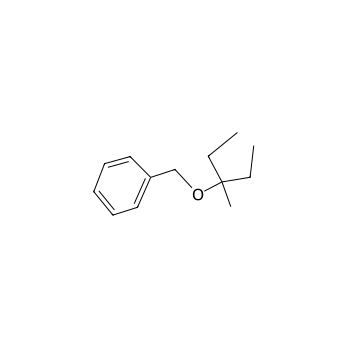 CCC(C)(CC)OCc1ccccc1